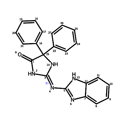 O=C1N/C(=N/c2nc3ccccc3[nH]2)NC1(c1ccccc1)c1ccccc1